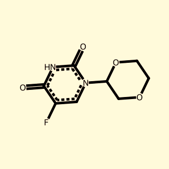 O=c1[nH]c(=O)n(C2COCCO2)cc1F